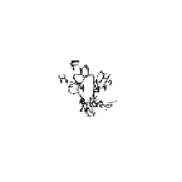 C=C1CCc2ccc(F)cc2C(=C)N2CCCCC2c2cc3nc(N4CCC4)c(C)c(n3n2)N(C)CCN1